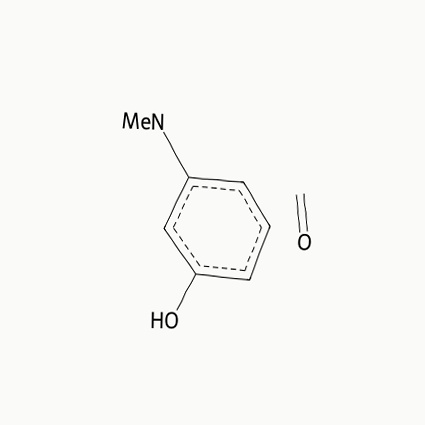 C=O.CNc1cccc(O)c1